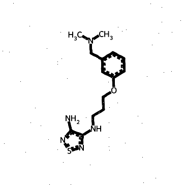 CN(C)Cc1cccc(OCCCNc2nsnc2N)c1